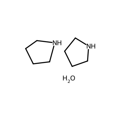 C1CCNC1.C1CCNC1.O